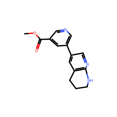 COC(=O)c1cncc(-c2cnc3c(c2)CCCN3)c1